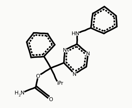 CC(C)C(OC(N)=O)(c1ccccc1)c1ncnc(Nc2ccccc2)n1